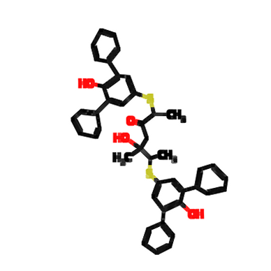 CC(Sc1cc(-c2ccccc2)c(O)c(-c2ccccc2)c1)C(=O)CC(C)(O)C(C)Sc1cc(-c2ccccc2)c(O)c(-c2ccccc2)c1